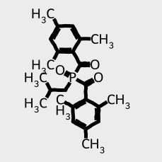 Cc1cc(C)c(C(=O)P(=O)(CC(C)C)C(=O)c2c(C)cc(C)cc2C)c(C)c1